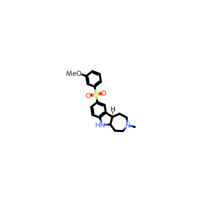 COc1cccc(S(=O)(=O)c2ccc3c(c2)[C@H]2CCN(C)CCC2N3)c1